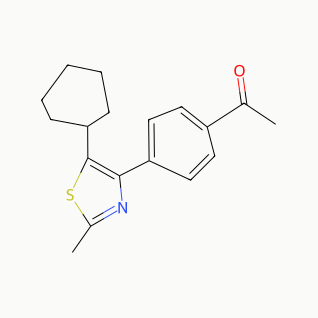 CC(=O)c1ccc(-c2nc(C)sc2C2CCCCC2)cc1